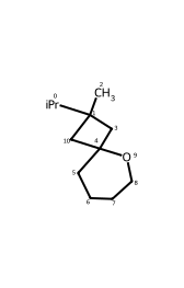 CC(C)C1(C)CC2(CCCCO2)C1